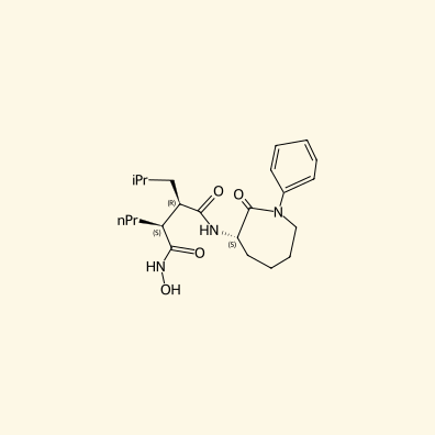 CCC[C@H](C(=O)NO)[C@@H](CC(C)C)C(=O)N[C@H]1CCCCN(c2ccccc2)C1=O